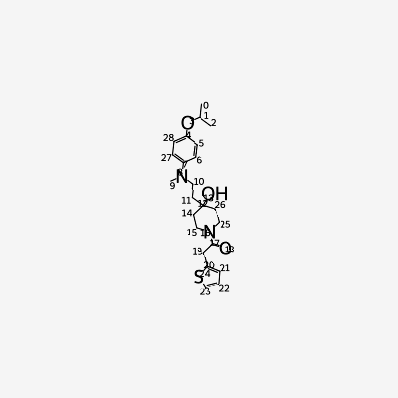 CC(C)Oc1ccc(N(C)CCC2(O)CCN(C(=O)Cc3cccs3)CC2)cc1